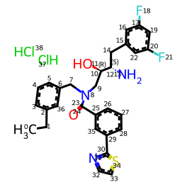 CCc1cccc(CN(C[C@@H](O)[C@@H](N)Cc2cc(F)cc(F)c2)C(=O)c2cccc(-c3nccs3)c2)c1.Cl.Cl